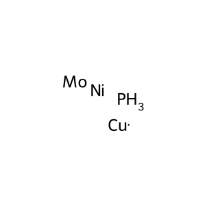 P.[Cu].[Mo].[Ni]